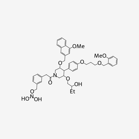 CCC(O)COC1CN(C(=O)Cc2cccc(CON(O)O)c2)CC(OCc2cc(OC)c3ccccc3c2)C1c1ccc(OCCCOCc2ccccc2OC)cc1